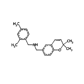 Cc1ccc(CNCc2ccc3c(c2)C=CC(C)(C)O3)c(C)c1